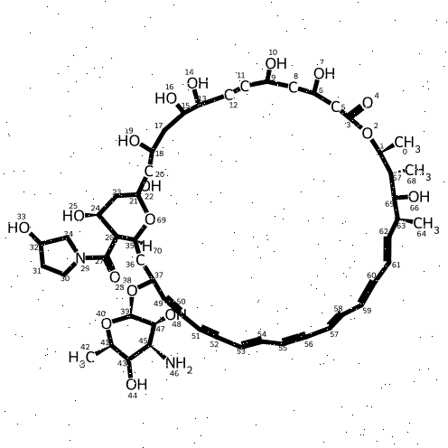 C[C@@H]1OC(=O)CC(O)CC(O)CCC(O)C(O)CC(O)CC2(O)C[C@H](O)C(C(=O)N3CCC(O)C3)[C@H](CC(O[C@@H]3O[C@H](C)C(O)[C@H](N)[C@@H]3O)/C=C/C=C/C=C/C=C/C=C/C=C/C=C/[C@H](C)C(O)[C@H]1C)O2